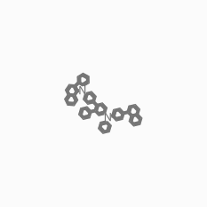 c1ccc(-c2cc(N(c3ccccc3)c3ccc(-c4cccc5ccccc45)cc3)ccc2-c2ccc(-n3c4ccccc4c4ccc5ccccc5c43)cc2)cc1